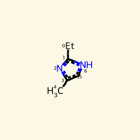 CCc1nc(C)[c][nH]1